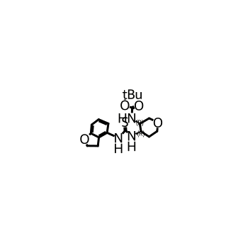 CC(C)(C)OC(=O)N[C@H]1COCC[C@H]1NC(=S)Nc1cccc2c1CCO2